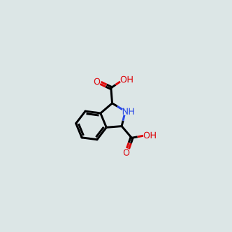 O=C(O)C1NC(C(=O)O)c2ccccc21